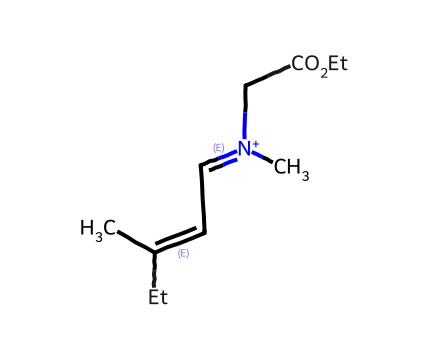 CCOC(=O)C/[N+](C)=C/C=C(\C)CC